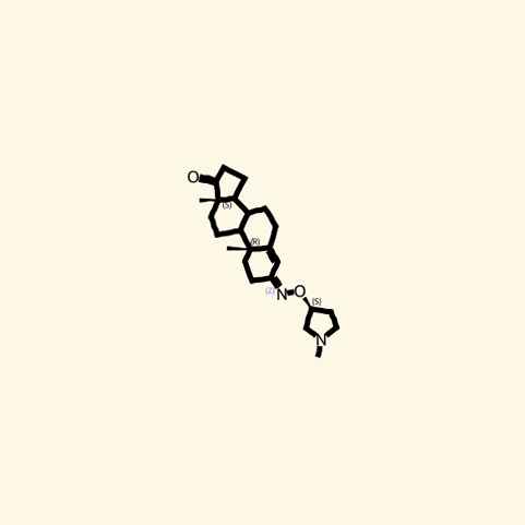 CN1CC[C@H](O/N=C2\C=C3CCC4C(CC[C@]5(C)C(=O)CCC45)[C@@]3(C)CC2)C1